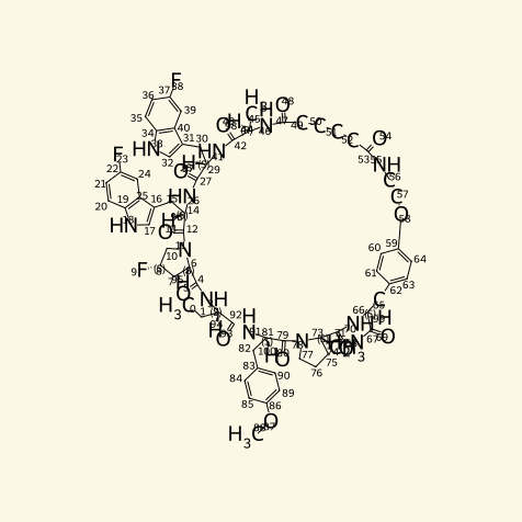 CC[C@@H]1NC(=O)[C@@H]2C[C@H](F)CN2C(=O)[C@H](Cc2c[nH]c3ccc(F)cc23)NC(=O)[C@H](Cc2c[nH]c3ccc(F)cc23)NC(=O)[C@@H](C)NC(=O)CCCCC(=O)NCCOc2ccc(cc2)C[C@@H](C(N)=O)NC(=O)[C@]2(C)CCCN2C(=O)[C@H](Cc2ccc(OC)cc2)NC1=O